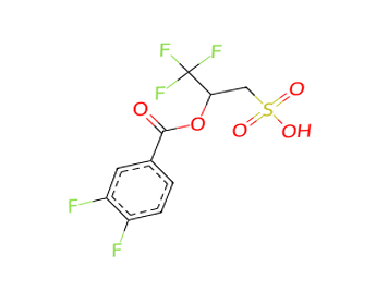 O=C(OC(CS(=O)(=O)O)C(F)(F)F)c1ccc(F)c(F)c1